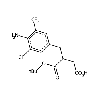 CCCCOC(=O)C(CC(=O)O)Cc1cc(Cl)c(N)c(C(F)(F)F)c1